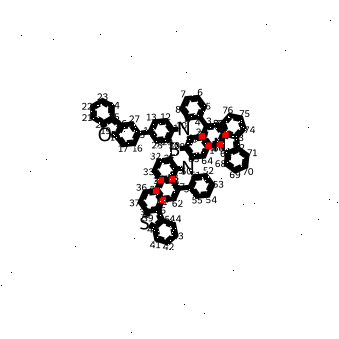 c1ccc(-c2ccccc2N2c3ccc(-c4ccc5oc6ccccc6c5c4)cc3B3c4ccc(-c5ccc6sc7ccccc7c6c5)cc4N(c4ccccc4-c4ccccc4)c4cc(-n5c6ccccc6c6ccccc65)cc2c43)cc1